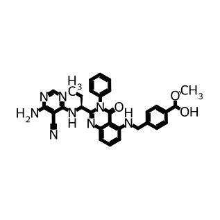 CC[C@H](Nc1ncnc(N)c1C#N)c1nc2cccc(NCc3ccc(C(O)OC)cc3)c2c(=O)n1-c1ccccc1